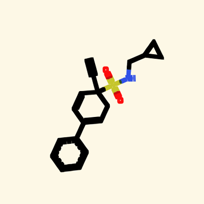 C#CC1(S(=O)(=O)NCC2CC2)C=CC(c2ccccc2)=CC1